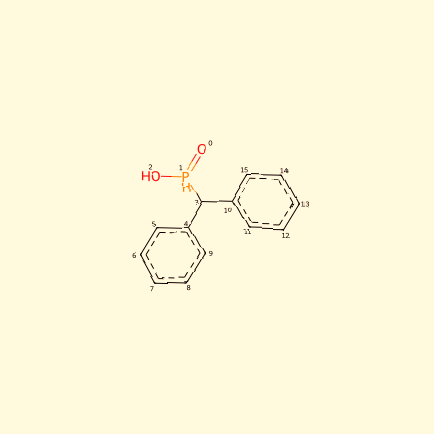 O=[PH](O)C(c1ccccc1)c1ccccc1